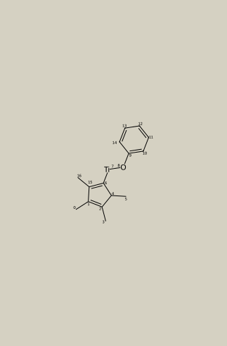 CC1=C(C)C(C)[C]([Ti][O]c2ccccc2)=C1C